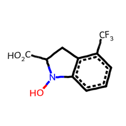 O=C(O)C1Cc2c(cccc2C(F)(F)F)N1O